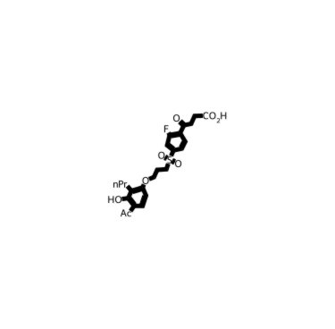 CCCc1c(OCCCS(=O)(=O)c2ccc(C(=O)CCC(=O)O)c(F)c2)ccc(C(C)=O)c1O